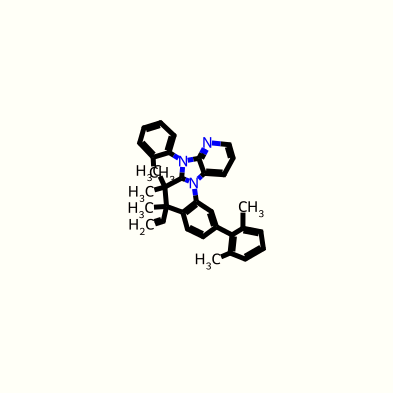 C=CC1(C)c2ccc(-c3c(C)cccc3C)cc2N2c3cccnc3N(c3ccccc3C)C2C1(C)C